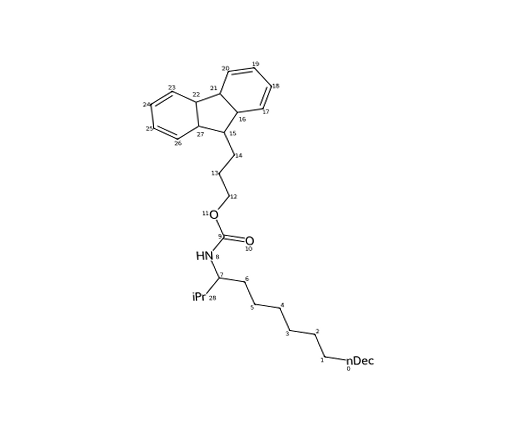 CCCCCCCCCCCCCCCCC(NC(=O)OCCCC1C2C=CC=CC2C2C=CC=CC21)C(C)C